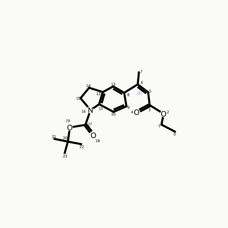 CCOC(=O)/C=C(/C)c1ccc2c(c1)CCN2C(=O)OC(C)(C)C